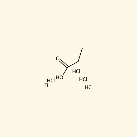 CCC(=O)O.Cl.Cl.Cl.Cl.[Ti]